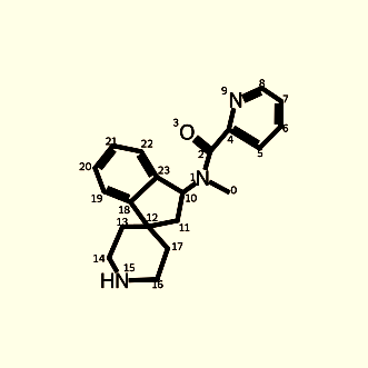 CN(C(=O)c1ccccn1)C1CC2(CCNCC2)c2ccccc21